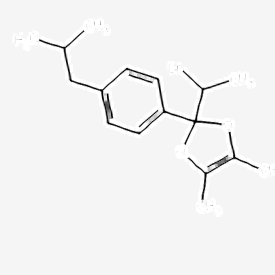 CC1=C(C)OC(c2ccc(CC(C)C)cc2)(C(C)Br)O1